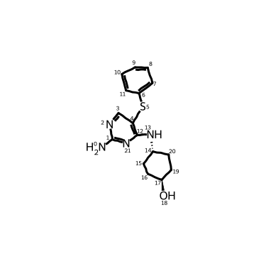 Nc1ncc(Sc2ccccc2)c(N[C@H]2CC[C@H](O)CC2)n1